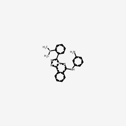 CN(C)c1ccccc1-c1nnc2c3ccccc3c(Nc3cccc(N)c3)nn12